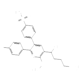 CCCCOc1nc(-c2ccc(F)cc2)c(-c2ccc(S(N)(=O)=O)cc2)cc1C(C)CCCC(=O)O